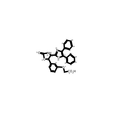 O=C(O)COc1cccc(C2OC(=O)NC2c2nc(-c3ccccc3)c(-c3ccccc3)o2)c1